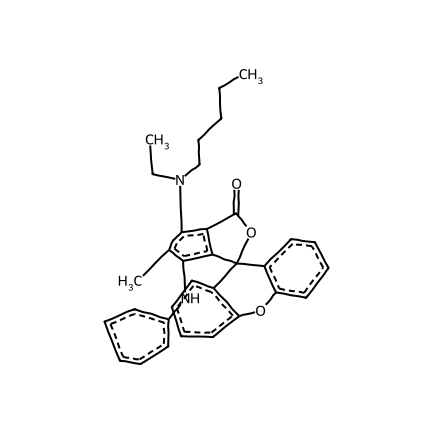 CCCCCN(CC)c1cc(C)c(Nc2ccccc2)c2c1C(=O)OC21c2ccccc2Oc2ccccc21